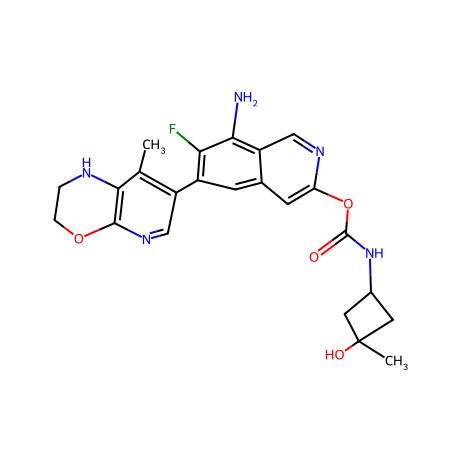 Cc1c(-c2cc3cc(OC(=O)NC4CC(C)(O)C4)ncc3c(N)c2F)cnc2c1NCCO2